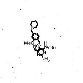 CCCCNc1nc(N)nc2cnn(Cc3ccc(CN4CCCCC4)cc3OC)c12